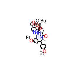 CCOc1ccc(C(c2ccc(OCC)cc2)[C@H](C)NC(=O)[C@H](CC(C)C)NC(=O)c2nccc(OC)c2OC(=O)OCC(C)C)cc1